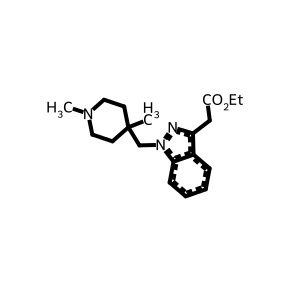 CCOC(=O)Cc1nn(CC2(C)CCN(C)CC2)c2ccccc12